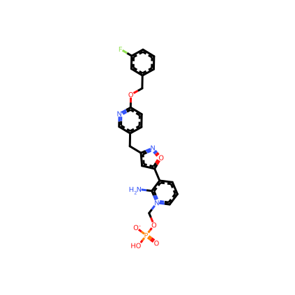 Nc1c(-c2cc(Cc3ccc(OCc4cccc(F)c4)nc3)no2)ccc[n+]1COP(=O)([O-])O